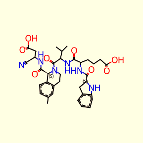 Cc1ccc2c(c1)CCN(C(=O)C(NC(=O)C(CCCC(=O)O)NC(=O)[C@@H]1Cc3ccccc3N1)C(C)C)[C@@H]2C(=O)NC(C#N)CC(=O)O